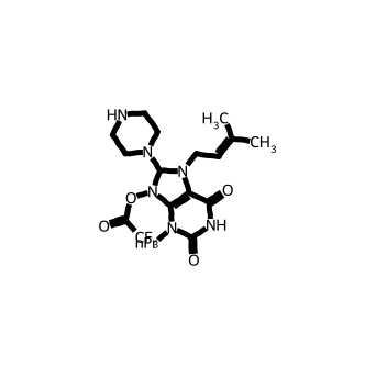 CCCn1c2c(c(=O)[nH]c1=O)N(CC=C(C)C)C(N1CCNCC1)N2OC(=O)C(F)(F)F